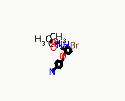 CC(C)(C)OC(=O)NCc1cc(Br)ccc1OCc1ccc(C#N)cc1